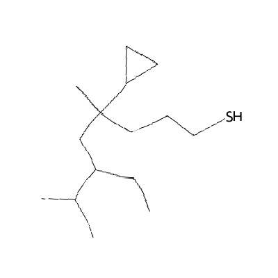 CCC(CC(C)(CCCS)C1CC1)C(C)C